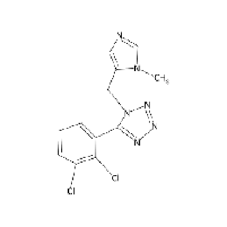 Cn1cncc1Cn1nnnc1-c1cccc(Cl)c1Cl